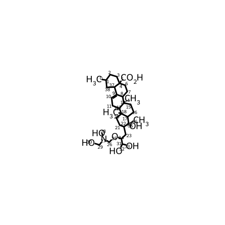 CC1CCC2(C(=O)O)CCC3C(=CCC4C3(C)CCC3C4(C)CCC(CC(OCN(O)CO)C(O)O)[C@@]3(C)O)C2C1